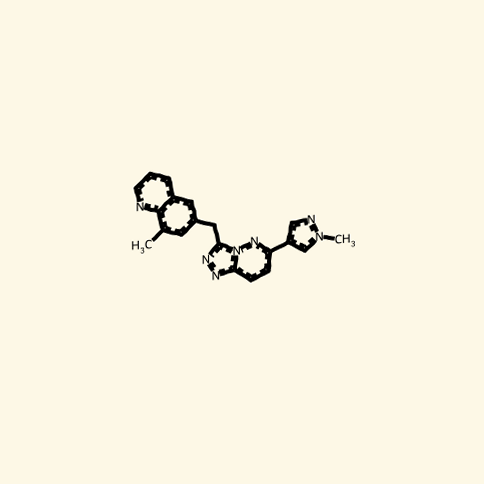 Cc1cc(Cc2nnc3ccc(-c4cnn(C)c4)nn23)cc2cccnc12